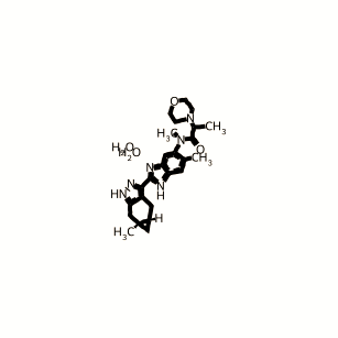 Cc1cc2[nH]c(-c3n[nH]c4c3C[C@@H]3C[C@]3(C)C4)nc2cc1N(C)C(=O)C(C)N1CCOCC1.O.O